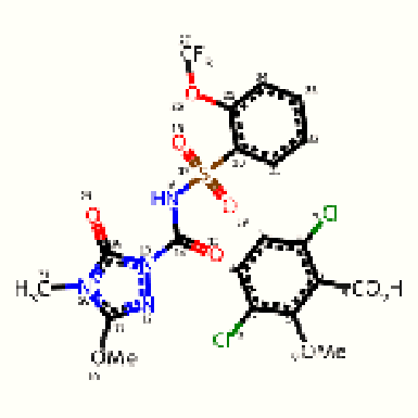 COc1c(Cl)ccc(Cl)c1C(=O)O.COc1nn(C(=O)NS(=O)(=O)c2ccccc2OC(F)(F)F)c(=O)n1C